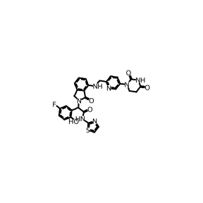 O=C1CCN(c2ccc(CNc3cccc4c3C(=O)N(C(C(=O)Nc3nccs3)c3cc(F)ccc3O)C4)nc2)C(=O)N1